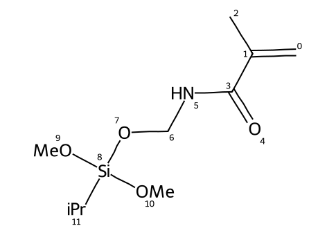 C=C(C)C(=O)NCO[Si](OC)(OC)C(C)C